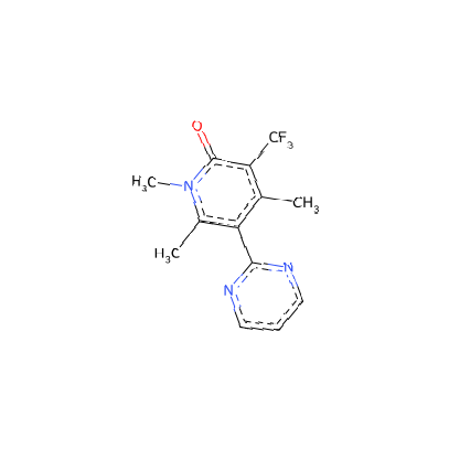 Cc1c(-c2ncccn2)c(C)n(C)c(=O)c1C(F)(F)F